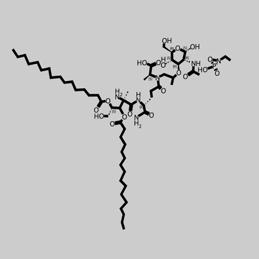 CCCCCCCCCCCCCCCC(=O)OC([C@H](CO)OC(=O)CCCCCCCCCCCCCCC)[C@@](C)(N)C(=O)N[C@H](CCC(=O)N(CC(C)O[C@H]1[C@H](O)[C@@H](CO)O[C@H](O)[C@@H]1NC(C)=O)[C@@H](C)C(=O)O)C(N)=O.CCN1OP1(=O)O